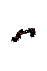 O=S(=O)(Oc1cnc(-c2ccc(OCC(F)(F)C(F)(F)C(F)(F)OC(F)(F)C(F)(F)C(F)(F)C(F)(F)OC(F)(F)C(F)(F)C(F)(F)C(F)(F)F)cc2)nc1)OC(F)(F)C(F)(F)C(F)(F)C(F)(F)F